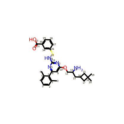 Cc1cccc(C)c1-c1cc(OCC(N)CC2CC(C)(C)C2)nc(NSc2cccc(C(=O)O)c2)n1